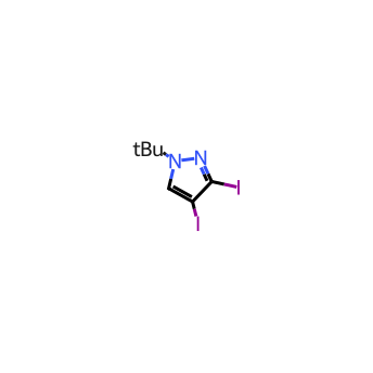 CC(C)(C)n1cc(I)c(I)n1